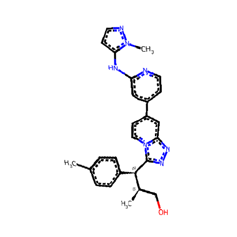 Cc1ccc([C@@H](c2nnc3cc(-c4ccnc(Nc5ccnn5C)c4)ccn23)[C@H](C)CO)cc1